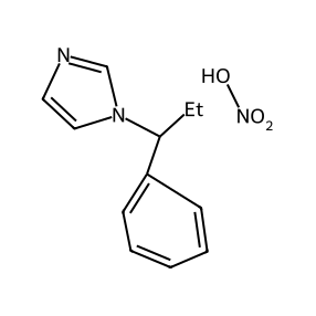 CCC(c1ccccc1)n1ccnc1.O=[N+]([O-])O